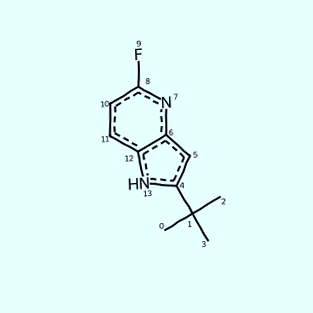 CC(C)(C)c1cc2nc(F)ccc2[nH]1